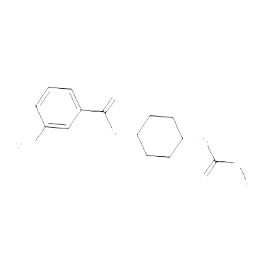 COc1cccc(C(=O)N[C@H]2CC[C@@H](NC(=O)OC(C)(C)C)CC2)c1